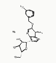 Br.Cc1cccc(CON2C=Nc3c(ncn3[C@@H]3O[C@H](CO)C(O)C3O)C2N)c1